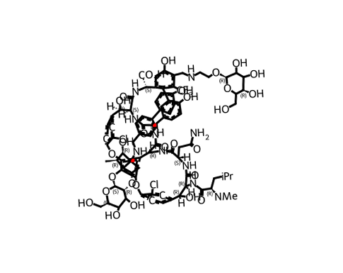 CN[C@H](CC(C)C)C(=O)N[C@H]1C(=O)N[C@@H](CC(N)=O)C(=O)N[C@H]2C(=O)N[C@@H]3C(=O)N[C@H](C(=O)N[C@H](C(=O)O)c4cc(O)c(CNCCO[C@@H]5OC(CO)[C@H](O)C(O)C5O)c(O)c4-c4cc3ccc4O)[C@H](O)c3ccc(c(Cl)c3)Oc3cc2cc(c3O[C@@H]2O[C@H](CO)C(O)C(O)[C@H]2O[C@H]2CC3(NCc4ccc(-c5ccc(C(F)(F)F)cc5)cc4)C2[C@@H](C)[C@H]3O)Oc2ccc(cc2Cl)[C@H]1O